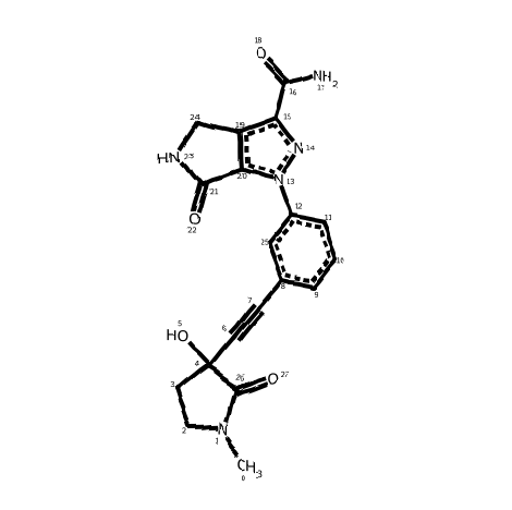 CN1CCC(O)(C#Cc2cccc(-n3nc(C(N)=O)c4c3C(=O)NC4)c2)C1=O